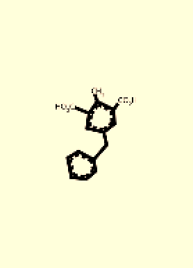 Cc1c(C(=O)O)cc(Cc2ccccc2)cc1C(=O)O